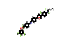 CCC/C(F)=C(\F)c1ccc(C2CCC(C3CCC(/C=C/C4CCC(C(F)(F)Oc5cc(F)c(F)c(F)c5)CC4)CC3)OC2)c(F)c1